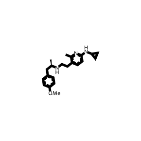 COc1ccc(C[C@@H](C)NCCc2ccc(NC3CC3)nc2C)cc1